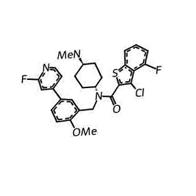 CN[C@H]1CC[C@H](N(Cc2cc(-c3ccnc(F)c3)ccc2OC)C(=O)c2sc3cccc(F)c3c2Cl)CC1